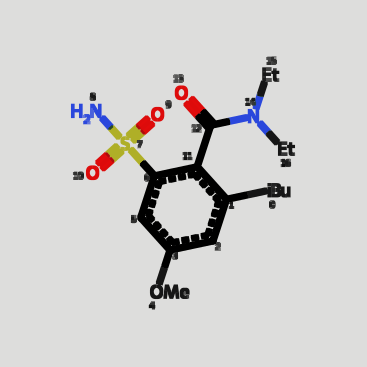 CCC(C)c1cc(OC)cc(S(N)(=O)=O)c1C(=O)N(CC)CC